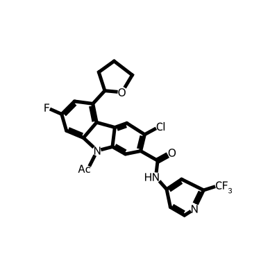 CC(=O)n1c2cc(C(=O)Nc3ccnc(C(F)(F)F)c3)c(Cl)cc2c2c(C3CCCO3)cc(F)cc21